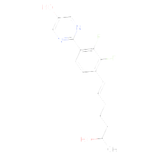 CC(O)CCCC=Cc1ccc(-c2ncc(O)cn2)c(F)c1F